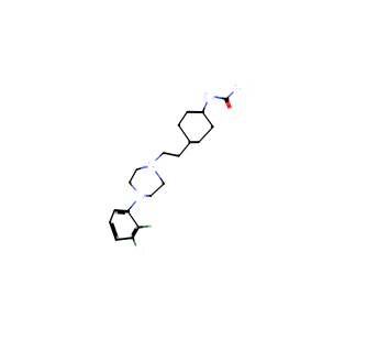 NC(=O)NC1CCC(CCN2CCN(c3cccc(Cl)c3Cl)CC2)CC1